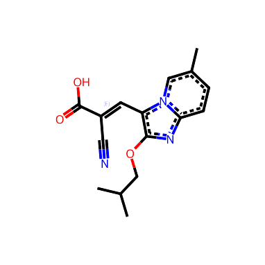 Cc1ccc2nc(OCC(C)C)c(/C=C(\C#N)C(=O)O)n2c1